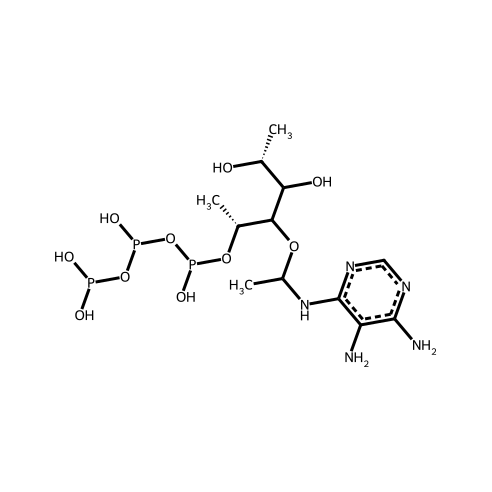 CC(Nc1ncnc(N)c1N)OC(C(O)[C@@H](C)O)[C@@H](C)OP(O)OP(O)OP(O)O